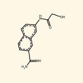 N=C(N)c1ccc2ccc(NC(=O)CO)cc2c1